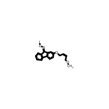 COC/C=C\COc1ccc2c(c1)/C(=N/OI)c1ccccc1-2